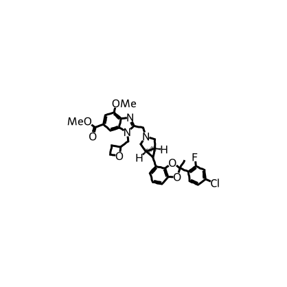 COC(=O)c1cc(OC)c2nc(CN3C[C@@H]4C(c5cccc6c5OC(C)(c5ccc(Cl)cc5F)O6)[C@@H]4C3)n(CC3CCO3)c2c1